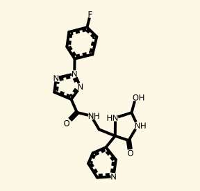 O=C(NCC1(c2cccnc2)NC(O)NC1=O)c1cnn(-c2ccc(F)cc2)n1